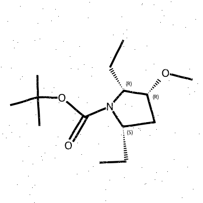 CC[C@H]1C[C@@H](OC)[C@@H](CC)N1C(=O)OC(C)(C)C